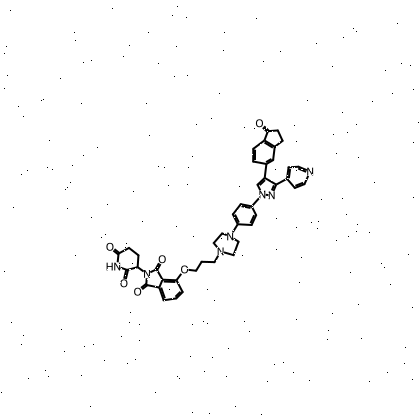 O=C1CCC(N2C(=O)c3cccc(OCCCN4CCN(c5ccc(-n6cc(-c7ccc8c(c7)CCC8=O)c(-c7ccncc7)n6)cc5)CC4)c3C2=O)C(=O)N1